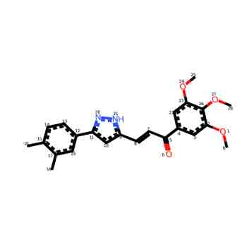 COc1cc(C(=O)C=Cc2cc(-c3ccc(C)c(C)c3)n[nH]2)cc(OC)c1OC